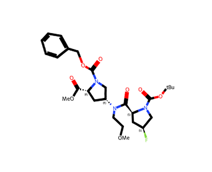 COCCN(C(=O)[C@@H]1C[C@H](F)CN1C(=O)OC(C)(C)C)[C@@H]1C[C@H](C(=O)OC)N(C(=O)OCc2ccccc2)C1